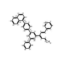 C=C/C=C(\C=C\c1cccnc1)c1cc(-c2ccc(-c3cccc4ccccc34)cc2)nc(-c2ccccc2)n1